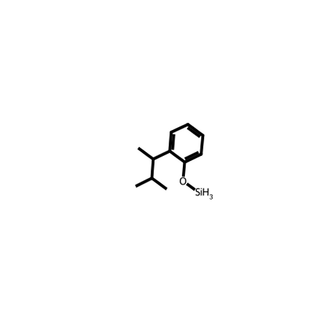 CC(C)C(C)c1ccccc1O[SiH3]